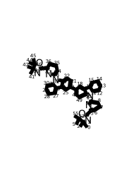 CC1(C)N=C(c2cccc(-n3c4ccccc4c4cc(-c5ccc6c(c5)c5ccccc5n6-c5cccc(C6=NC(C)(C)C(C)(C)O6)n5)ccc43)n2)OC1(C)C